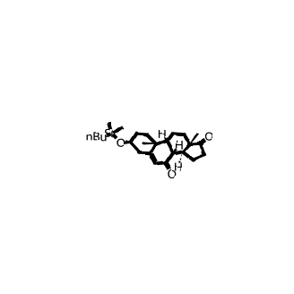 CCCC[Si](C)(C)OC1CC[C@@]2(C)C(=CC(=O)[C@@H]3[C@@H]2CC[C@]2(C)C(=O)CC[C@@H]32)C1